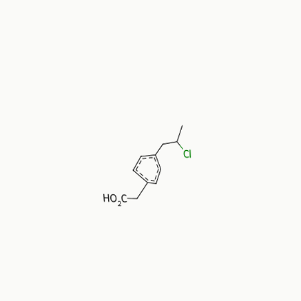 CC(Cl)Cc1ccc(CC(=O)O)cc1